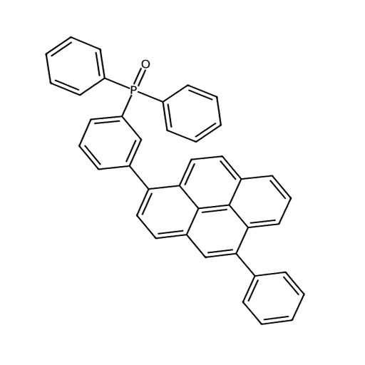 O=P(c1ccccc1)(c1ccccc1)c1cccc(-c2ccc3cc(-c4ccccc4)c4cccc5ccc2c3c54)c1